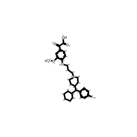 COc1cc(C(=O)C(=O)O)ccc1OCCCN1CCC(C(c2ccc(F)cc2)C2CCCCC2)CC1